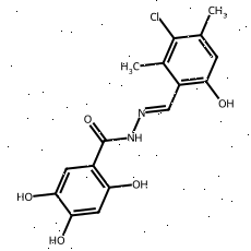 Cc1cc(O)c(/C=N/NC(=O)c2cc(O)c(O)cc2O)c(C)c1Cl